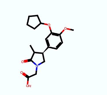 COc1ccc([C@H]2CN(CC(=O)O)C(=O)C2C)cc1OC1CCCC1